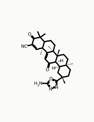 CC1(C)C(=O)C(C#N)=C[C@]2(C)C3=CC(=O)[C@@H]4[C@@H]5C[C@@](C)(c6nnc(N)o6)CC[C@]5(C)CC[C@@]4(C)[C@]3(C)CCC12